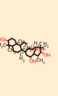 C[C@H]1[C@H](O)C(C)(C)CC2[C@@]13[C@H](O)C[C@]1(C)[C@@]2(CCC2[C@@]4(C)CC[C@H](O)C(C)(C)C4CC[C@]21C)O[C@@H]3O